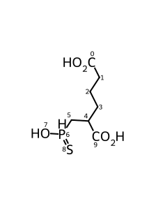 O=C(O)CCCC(C[PH](O)=S)C(=O)O